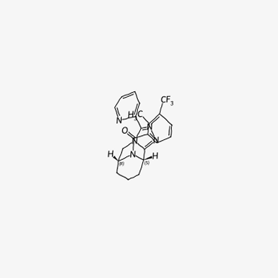 Cc1c(C(=O)N2[C@@H]3CCC[C@H]2c2nnc(-c4ccccn4)n2C3)cccc1C(F)(F)F